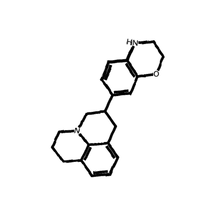 c1cc2c3c(c1)CC(c1ccc4c(c1)OCCN4)CN3CCC2